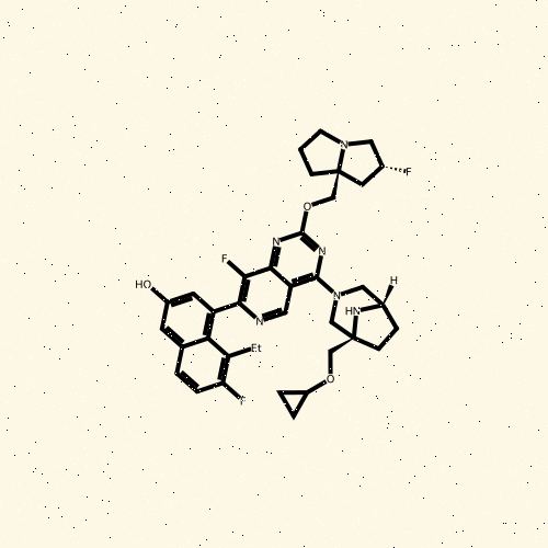 CCc1c(F)ccc2cc(O)cc(-c3ncc4c(N5C[C@@H]6CC[C@](COC7CC7)(C5)N6)nc(OC[C@@]56CCCN5C[C@H](F)C6)nc4c3F)c12